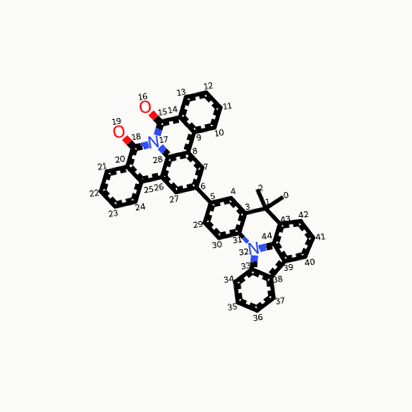 CC1(C)c2cc(-c3cc4c5ccccc5c(=O)n5c(=O)c6ccccc6c(c3)c45)ccc2-n2c3ccccc3c3cccc1c32